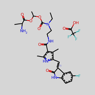 CCN(CCNC(=O)c1c(C)[nH]c(/C=C2\C(=O)Nc3ccc(F)cc32)c1C)C(=O)OC(C)OC(=O)C(C)N.O=C(O)C(F)(F)F